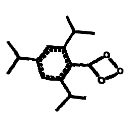 CC(C)c1cc(C(C)C)c(C2OOO2)c(C(C)C)c1